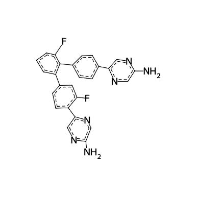 Nc1cnc(-c2ccc(-c3c(F)cccc3-c3ccc(-c4cnc(N)cn4)c(F)c3)cc2)cn1